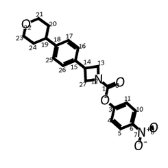 O=C(Oc1ccc([N+](=O)[O-])cc1)N1CC(c2ccc(C3CCOCC3)cc2)C1